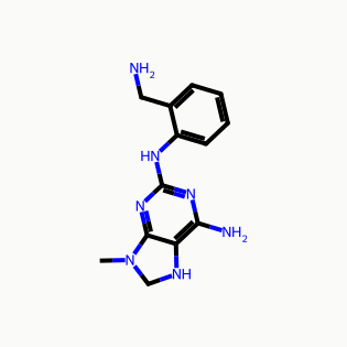 CN1CNc2c(N)nc(Nc3ccccc3CN)nc21